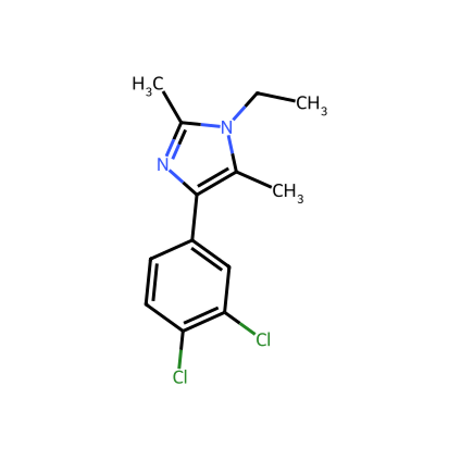 CCn1c(C)nc(-c2ccc(Cl)c(Cl)c2)c1C